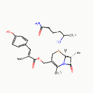 COC(=Cc1ccc(O)cc1)C(=O)OCC1=C(C(=O)O)N2C(=O)[C@@H](OC)[C@@H]2SC1.NC(=O)CCCC(N)C(=O)O